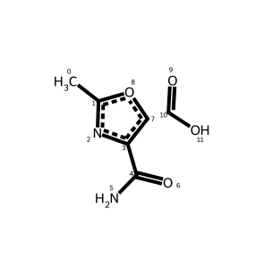 Cc1nc(C(N)=O)co1.O=CO